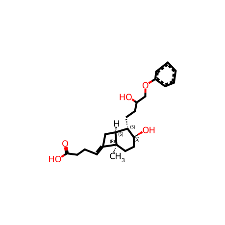 C[C@@]12CC[C@H](O)[C@@H](CCC(O)COc3ccccc3)[C@@H]1CC2=CCCC(=O)O